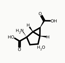 N[C@@]1(C(=O)O)CC[C@H]2[C@H](C(=O)O)[C@H]21.O